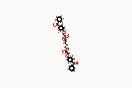 O=C(COc1ccc(C(=O)c2ccccc2)cc1)OCCCCOC(=O)COc1ccc(C(=O)c2ccccc2)cc1